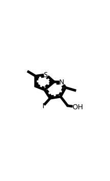 Cc1cc2c(I)c(CO)c(C)nc2s1